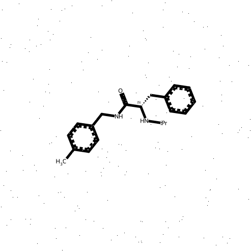 Cc1ccc(CNC(=O)[C@H](Cc2ccccc2)NC(C)C)cc1